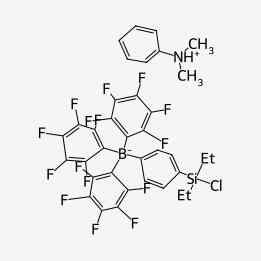 CC[Si](Cl)(CC)c1ccc([B-](c2c(F)c(F)c(F)c(F)c2F)(c2c(F)c(F)c(F)c(F)c2F)c2c(F)c(F)c(F)c(F)c2F)cc1.C[NH+](C)c1ccccc1